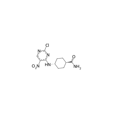 NC(=O)[C@H]1CC[C@H](Nc2nc(Cl)ncc2[N+](=O)[O-])CC1